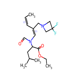 C/C=C\C(=C/N(C=O)C(CC(C)C)C(=O)OCC)CN1CC(F)(F)C1